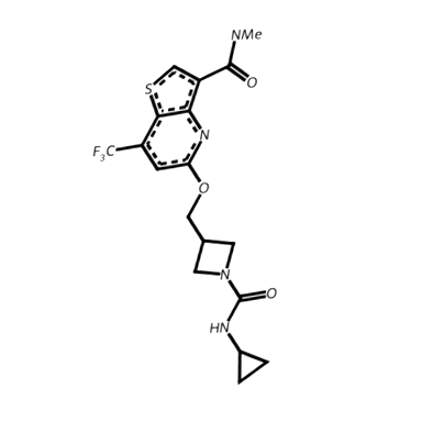 CNC(=O)c1csc2c(C(F)(F)F)cc(OCC3CN(C(=O)NC4CC4)C3)nc12